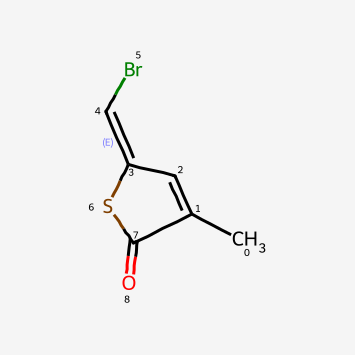 CC1=C/C(=C\Br)SC1=O